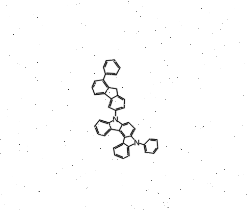 c1ccc(-c2cccc3c2Cc2ccc(-n4c5ccccc5c5c6c7ccccc7n(-c7ccccc7)c6ccc54)cc2-3)cc1